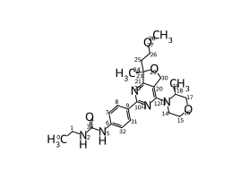 CCNC(=O)Nc1ccc(-c2nc(N3CCOC[C@@H]3C)c3c(n2)[C@](C)(CCOC)OC3)cc1